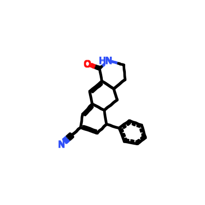 N#CC1=CC(c2ccccc2)C2CC3CCNC(=O)C3=CC2=C1